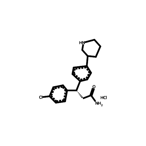 Cl.NC(=O)C[C@H](c1ccc(Cl)cc1)c1ccc(C2CCCNC2)cc1